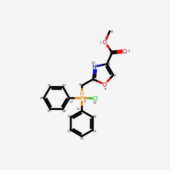 COC(=O)c1coc(C[PH](Cl)(c2ccccc2)c2ccccc2)n1